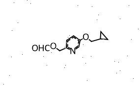 O=COCc1ccc(OCC2CC2)cn1